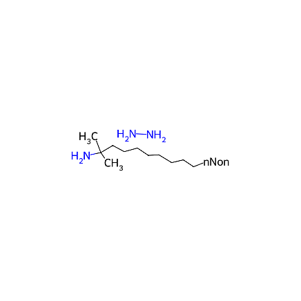 CCCCCCCCCCCCCCCCCC(C)(C)N.NN